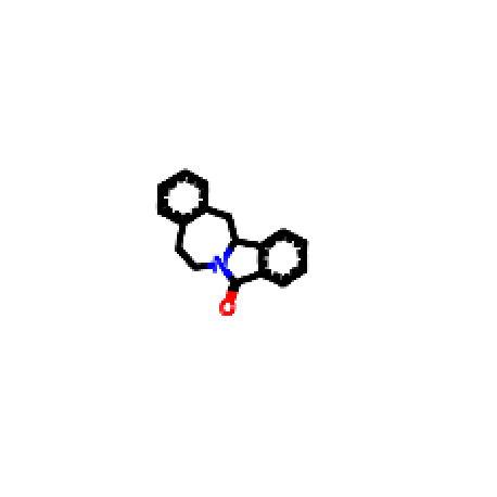 O=C1c2ccccc2C2Cc3ccccc3CCN12